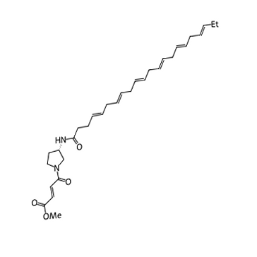 CCC=CCC=CCC=CCC=CCC=CCC=CCCC(=O)N[C@H]1CCN(C(=O)C=CC(=O)OC)C1